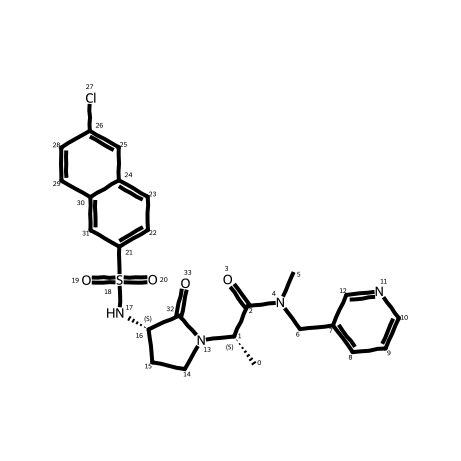 C[C@@H](C(=O)N(C)Cc1cccnc1)N1CC[C@H](NS(=O)(=O)c2ccc3cc(Cl)ccc3c2)C1=O